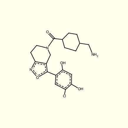 NCC1CCC(C(=O)N2CCc3noc(-c4cc(Cl)c(O)cc4O)c3C2)CC1